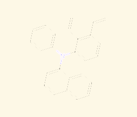 C=Cc1cccc(N(c2ccccc2)c2cccc3ccccc23)c1C=C